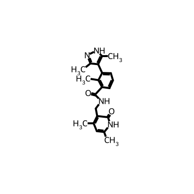 Cc1cc(C)c(CNC(=O)c2cccc(-c3c(C)n[nH]c3C)c2C)c(=O)[nH]1